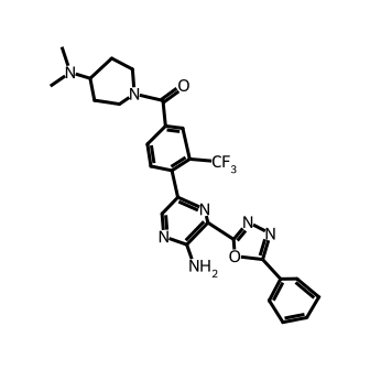 CN(C)C1CCN(C(=O)c2ccc(-c3cnc(N)c(-c4nnc(-c5ccccc5)o4)n3)c(C(F)(F)F)c2)CC1